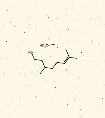 CC(=O)O.CC(C)=CCCC(C)CCO